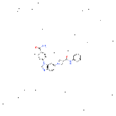 NC(=O)c1ccc(-n2cnc3ccc(N4CC(C(=O)Nc5ccccc5)C4)cc32)cc1